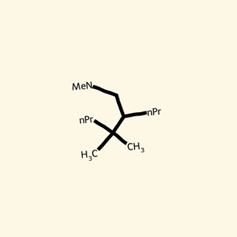 CCCC(CNC)C(C)(C)CCC